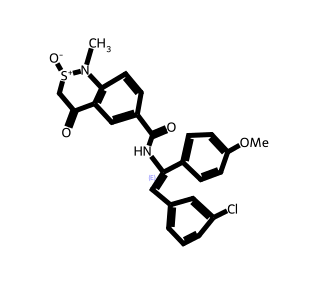 COc1ccc(/C(=C\c2cccc(Cl)c2)NC(=O)c2ccc3c(c2)C(=O)C[S+]([O-])N3C)cc1